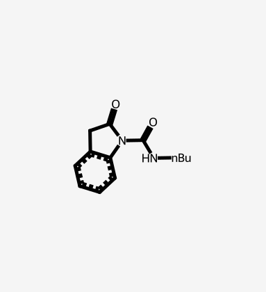 CCCCNC(=O)N1C(=O)Cc2ccccc21